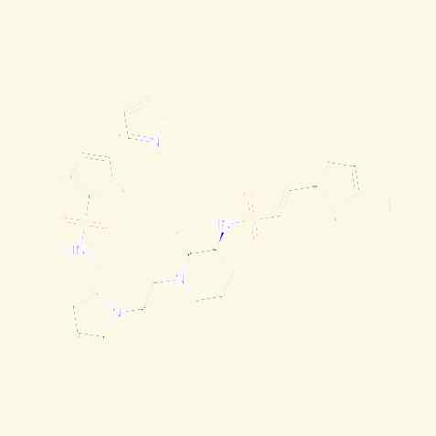 O=C1[C@@H](NS(=O)(=O)/C=C/c2ccc(Cl)s2)CCCN1CC(=O)N1CCC[C@@H]1CNS(=O)(=O)c1ccc(-c2ccon2)s1